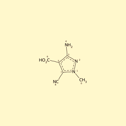 Cn1nc(N)c(C(=O)O)c1C#N